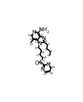 CCCCc1nc2c(N)ncc(C)c2n1CCCC[S+]([O-])c1ncccn1